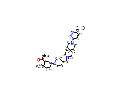 CCC(C)C(=O)c1cc(N2CCC(CN3CCC4(CC3)CCN(c3ccc(C=O)nn3)CC4)CC2)ccc1C(C)=O